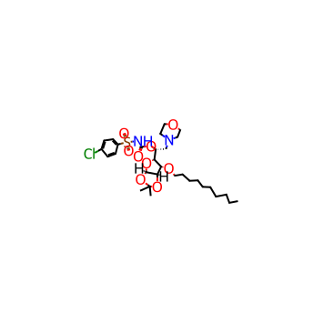 CCCCCCCCCCO[C@@H]1[C@H]2OC(C)(C)O[C@H]2O[C@@H]1[C@@H](CN1CCOCC1)OC(=O)NS(=O)(=O)c1ccc(Cl)cc1